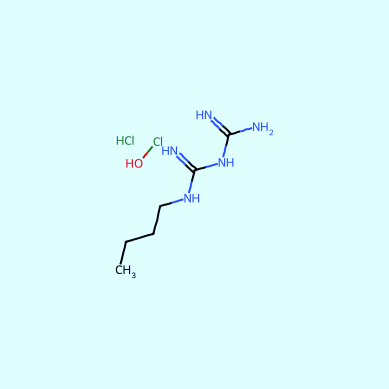 CCCCNC(=N)NC(=N)N.Cl.OCl